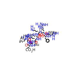 CC[C@H](C)[C@H](NC(=O)[C@H](CCCNC(=N)N)NC(=O)[C@H](CCC(=O)O)NC(=O)[C@H](CCCCN)NC(=O)[C@H](CCCNC(=N)N)NC(=O)[C@H](Cc1ccccc1)NC(=O)[C@H](CC1CNCN1)NC)C(=O)N[C@@H](CCC(=O)O)C(=O)NCC(=O)N[C@@H](CC(C)C)C(C)=O